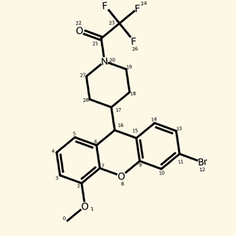 COc1cccc2c1Oc1cc(Br)ccc1C2C1CCN(C(=O)C(F)(F)F)CC1